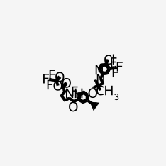 CC1(COc2cc(F)c(C(=O)C3CCC(C(=O)OC(=O)C(F)(F)F)N3)cc2C2CC2)CN(c2cc(C(F)(F)F)c(Cl)cn2)C1